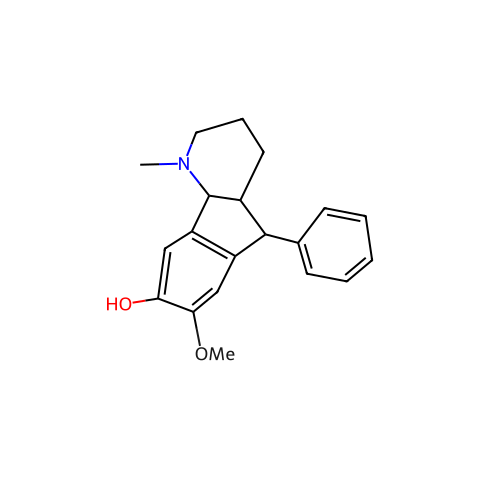 COc1cc2c(cc1O)C1C(CCCN1C)C2c1ccccc1